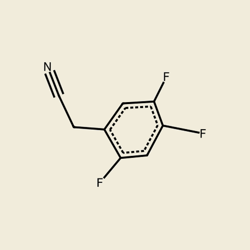 N#CCc1cc(F)c(F)cc1F